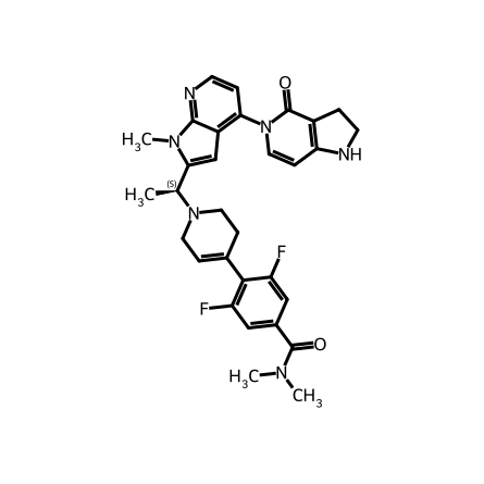 C[C@@H](c1cc2c(-n3ccc4c(c3=O)CCN4)ccnc2n1C)N1CC=C(c2c(F)cc(C(=O)N(C)C)cc2F)CC1